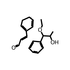 CCOC(c1ccccc1)C(C)O.O=CC=CC1=CC[CH]C=C1